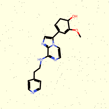 COC1=CC(c2cnc3c(NCCc4ccncc4)nccn23)=CCC1O